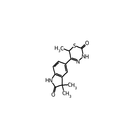 CC1SC(=O)NN=C1c1ccc2c(c1)C(C)(C)C(=O)N2